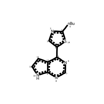 CCCCc1ncc(-c2ncnc3[nH]ccc23)s1